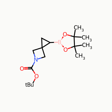 CC(C)(C)OC(=O)N1CC2(CC2B2OC(C)(C)C(C)(C)O2)C1